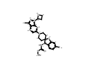 CC(C)(C)OC(=O)N[C@@H]1c2ccc(F)cc2OC12CCN(c1cnc3c(I)nn(C4CCO4)c3n1)CC2